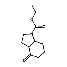 CCOC(=O)N1CCC2C(=O)CCCC21